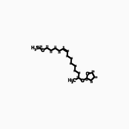 CC(CCCCCC/C=C\CCCCO[SiH3])OC1CCCO1